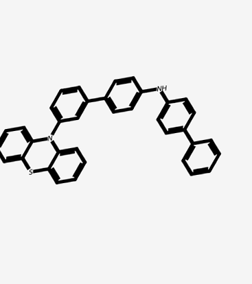 c1ccc(-c2ccc(Nc3ccc(-c4cccc(N5c6ccccc6Sc6ccccc65)c4)cc3)cc2)cc1